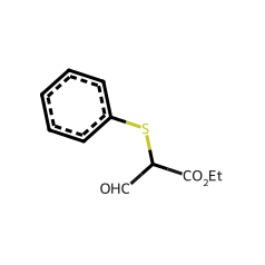 CCOC(=O)C(C=O)Sc1ccccc1